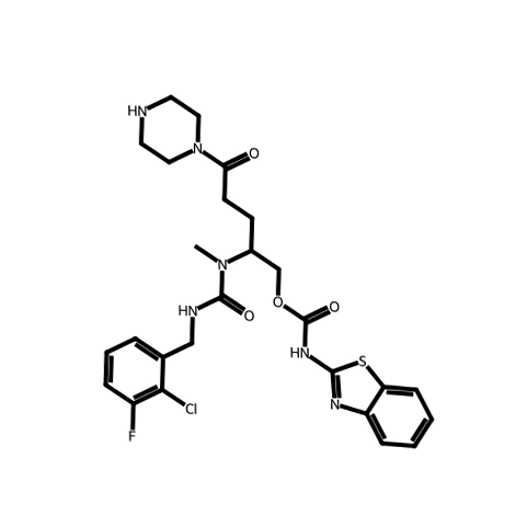 CN(C(=O)NCc1cccc(F)c1Cl)C(CCC(=O)N1CCNCC1)COC(=O)Nc1nc2ccccc2s1